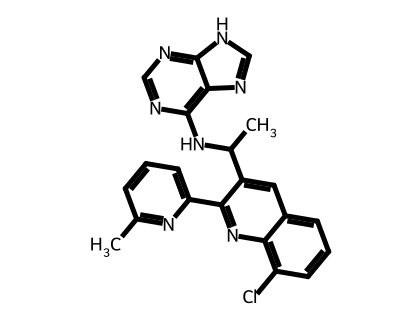 Cc1cccc(-c2nc3c(Cl)cccc3cc2C(C)Nc2ncnc3[nH]cnc23)n1